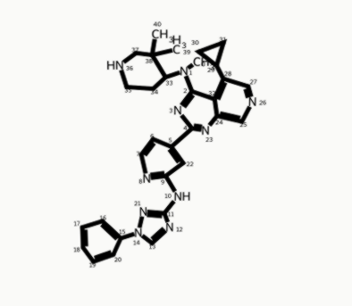 CN(c1nc(-c2ccnc(Nc3ncn(-c4ccccc4)n3)c2)nc2cncc(C3CC3)c12)C1CCNCC1(C)C